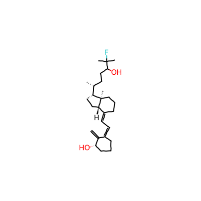 C=C1/C(=C\C=C2/CCC[C@]3(C)[C@@H]([C@H](C)CCC(O)C(C)(C)F)CC[C@@H]23)CCC[C@@H]1O